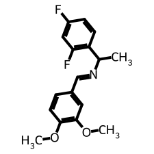 COc1ccc(C=NC(C)c2ccc(F)cc2F)cc1OC